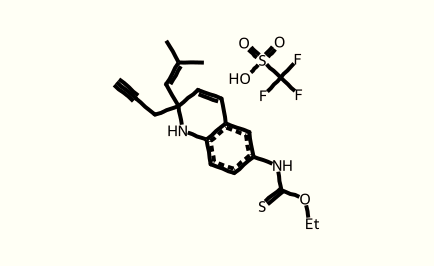 C#CCC1(C=C(C)C)C=Cc2cc(NC(=S)OCC)ccc2N1.O=S(=O)(O)C(F)(F)F